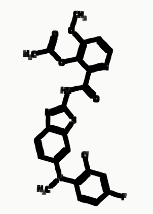 COc1ccnc(C(=O)Nc2nc3ccc(N(C)c4ccc(F)cc4Cl)cc3s2)c1OC(C)=O